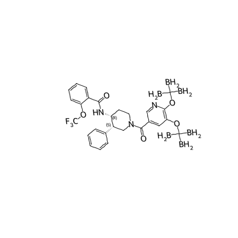 BC(B)(B)Oc1cc(C(=O)N2CC[C@@H](NC(=O)c3ccccc3OC(F)(F)F)[C@@H](c3ccccc3)C2)cnc1OC(B)(B)B